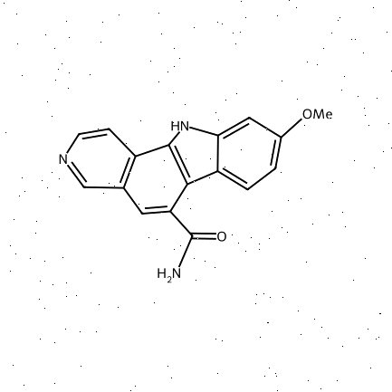 COc1ccc2c(c1)[nH]c1c3ccncc3cc(C(N)=O)c21